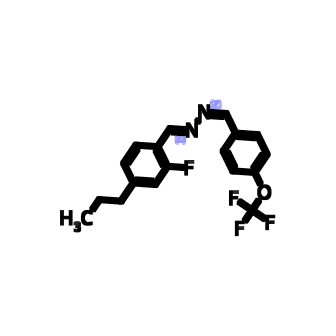 CCCc1ccc(/C=N/N=C\c2ccc(OC(F)(F)F)cc2)c(F)c1